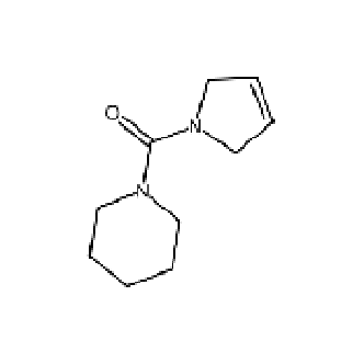 O=C(N1CC=CC1)N1CCCCC1